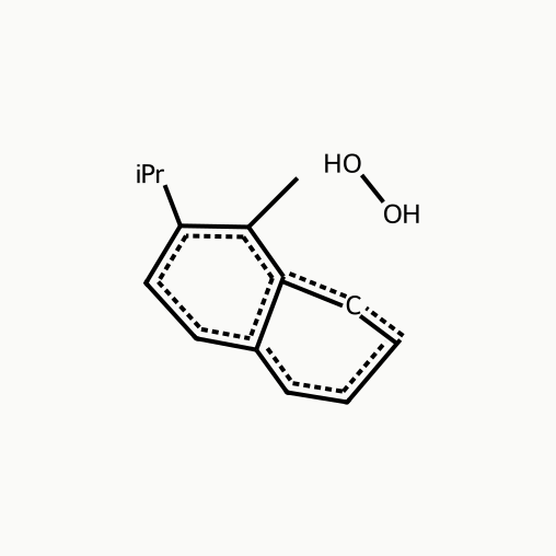 Cc1c(C(C)C)ccc2ccccc12.OO